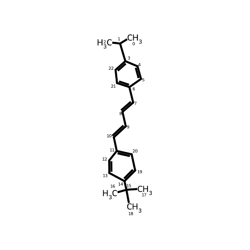 CC(C)c1ccc(C=CC=Cc2ccc(C(C)(C)C)cc2)cc1